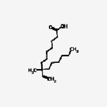 C=CC(C)(CCCCCC)CCCCCCC(=O)O